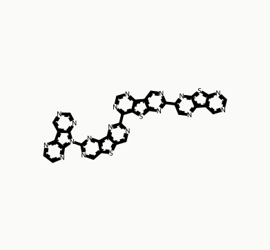 c1ncc2c(n1)sc1nc(-c3ncc4c(n3)sc3c(-c5ncc6sc7cnc(-n8c9ncncc9c9nccnc98)nc7c6n5)ncnc34)cnc12